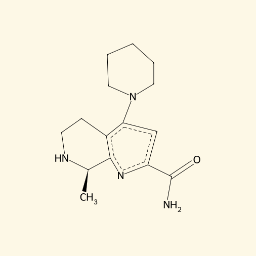 C[C@H]1NCCc2c(N3CCCCC3)cc(C(N)=O)nc21